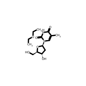 CCOCC.Cc1cn([C@H]2C[C@H](O)[C@@H](CO)O2)c(=O)[nH]c1=O